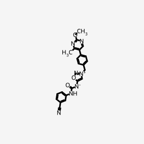 COc1ncc(-c2ccc(C[n+]3cc([N-]C(=O)Nc4cccc(C#N)c4)on3)cc2)c(C)n1